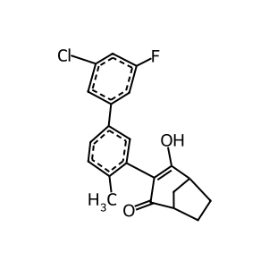 Cc1ccc(-c2cc(F)cc(Cl)c2)cc1C1=C(O)C2CCC(C2)C1=O